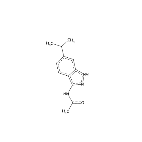 CC(=O)Nc1n[nH]c2cc(C(C)C)ccc12